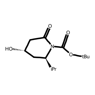 CC(C)[C@H]1C[C@H](O)CC(=O)N1C(=O)OC(C)(C)C